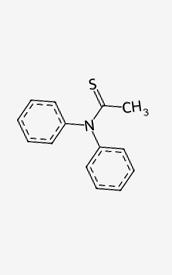 CC(=S)N(c1ccccc1)c1ccccc1